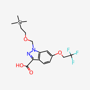 C[Si](C)(C)CCOCn1nc(C(=O)O)c2ccc(OCC(F)(F)F)cc21